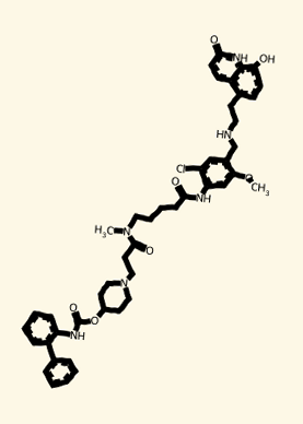 COc1cc(NC(=O)CCCCN(C)C(=O)CCN2CCC(OC(=O)Nc3ccccc3-c3ccccc3)CC2)c(Cl)cc1CNCCc1ccc(O)c2[nH]c(=O)ccc12